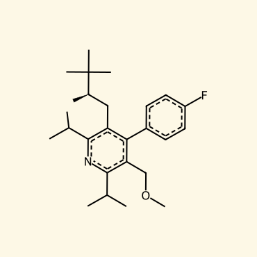 COCc1c(C(C)C)nc(C(C)C)c(C[C@@H](C)C(C)(C)C)c1-c1ccc(F)cc1